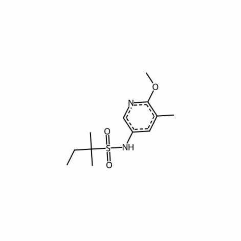 CCC(C)(C)S(=O)(=O)Nc1cnc(OC)c(C)c1